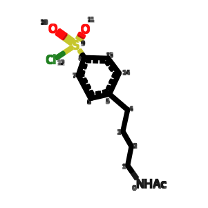 CC(=O)NCCCCc1ccc(S(=O)(=O)Cl)cc1